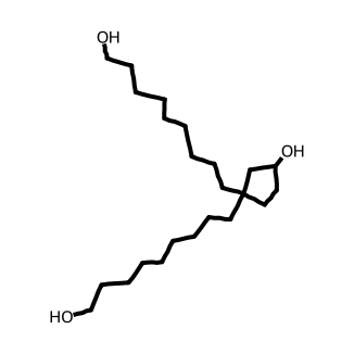 OCCCCCCCCCC1(CCCCCCCCCO)CCC(O)C1